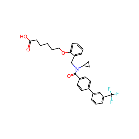 O=C(O)CCCCCOc1ccccc1CN(C(=O)c1ccc(-c2cccc(C(F)(F)F)c2)cc1)C1CC1